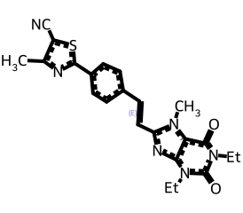 CCn1c(=O)c2c(nc(/C=C/c3ccc(-c4nc(C)c(C#N)s4)cc3)n2C)n(CC)c1=O